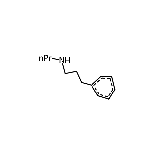 C[CH]CNCCCc1ccccc1